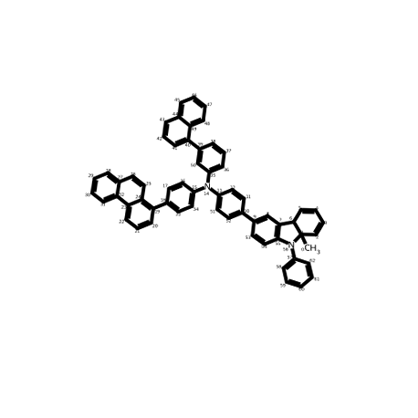 CC12C=CC=CC1c1cc(-c3ccc(N(c4ccc(-c5cccc6c5ccc5ccccc56)cc4)c4cccc(-c5cccc6ccccc56)c4)cc3)ccc1N2c1ccccc1